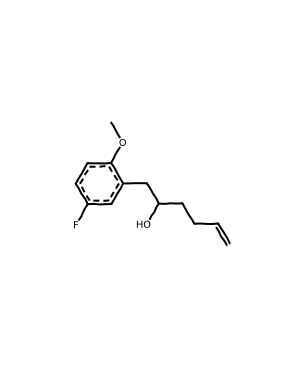 C=CCCC(O)Cc1cc(F)ccc1OC